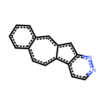 c1ccc2cc3cc4nnccc4c-3ccc2c1